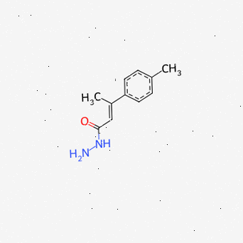 CC(=CC(=O)NN)c1ccc(C)cc1